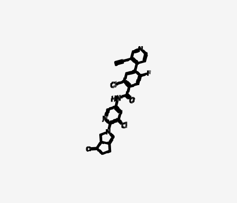 C#Cc1cnccc1-c1cc(Cl)c(C(=O)Nc2cnc(N3CC4CCC(=O)C4C3)c(Cl)c2)cc1F